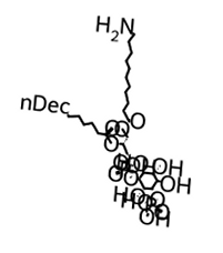 CCCCCCCCCCCCCCCC(=O)O[C@H](COC(=O)CCCCCCCCCCN)COP(=O)(O)OC1C(O)[C@H](O)C(O)[C@H](OP(=O)(O)O)[C@@H]1O